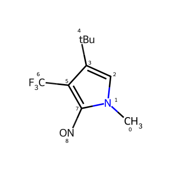 Cn1cc(C(C)(C)C)c(C(F)(F)F)c1N=O